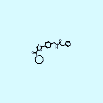 O=C(Cc1ccsc1)NCc1ccc(-c2nc(C(=O)N3CCCCCCC3)co2)cc1